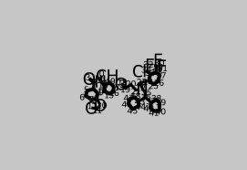 CN(C(=O)c1ccc2c(c1)OCO2)c1cccc(OCCCN(Cc2cccc(C(F)(F)F)c2Cl)CC(c2ccccc2)c2ccccc2)c1